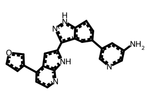 Nc1cncc(-c2ccc3[nH]nc(-c4cc5c(-c6ccoc6)ccnc5[nH]4)c3c2)c1